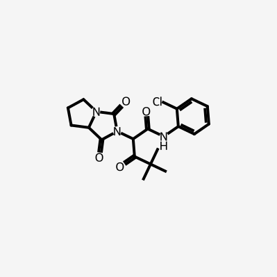 CC(C)(C)C(=O)C(C(=O)Nc1ccccc1Cl)N1C(=O)C2CCCN2C1=O